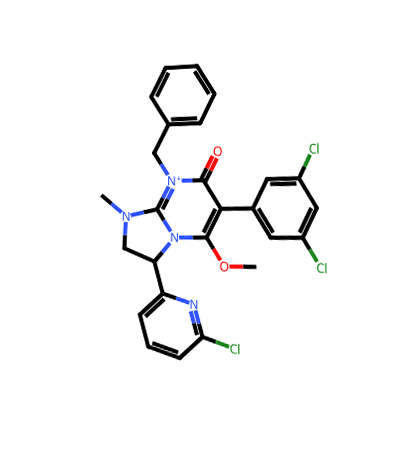 COc1c(-c2cc(Cl)cc(Cl)c2)c(=O)[n+](Cc2ccccc2)c2n1C(c1cccc(Cl)n1)CN2C